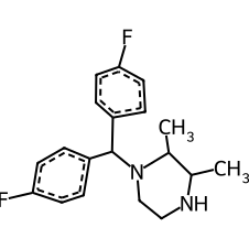 CC1NCCN(C(c2ccc(F)cc2)c2ccc(F)cc2)C1C